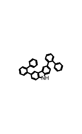 c1ccc(-c2ccccc2-c2ccc3[nH]c4ccc(-c5ccccc5-c5ccccc5)cc4c3c2)cc1